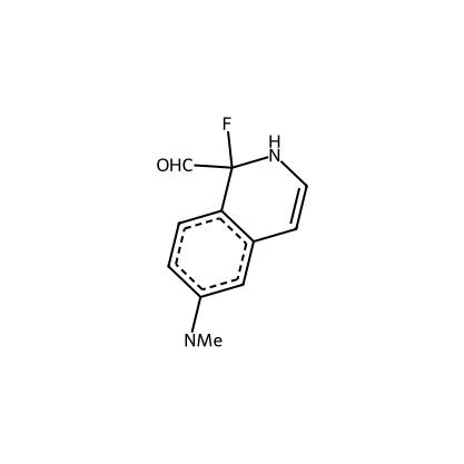 CNc1ccc2c(c1)C=CNC2(F)C=O